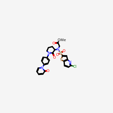 COC(=O)CN(C1CCCN(c2ccc(-n3ccccc3=O)cc2)C1=O)S(=O)(=O)c1cc2nc(Cl)ccc2s1